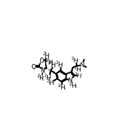 [2H]c1c(C([2H])([2H])[C@@H]2N([2H])C(=O)OC2([2H])[2H])c([2H])c2c(CC([2H])([2H])N(C)C)c([2H])n([2H])c2c1[2H]